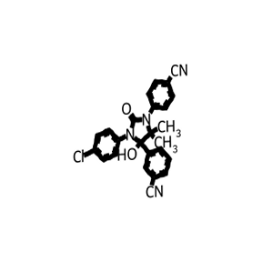 CC1(C)N(c2ccc(C#N)cc2)C(=O)N(c2ccc(Cl)cc2)C1(O)c1cccc(C#N)c1